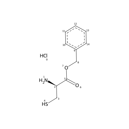 Cl.N[C@H](CS)C(=O)OCc1ccccc1